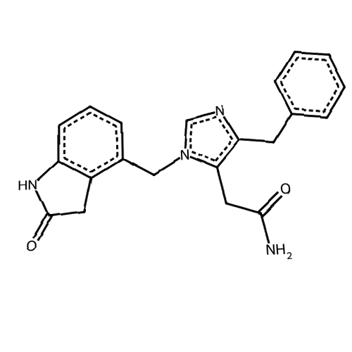 NC(=O)Cc1c(Cc2ccccc2)ncn1Cc1cccc2c1CC(=O)N2